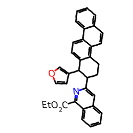 CCOC(=O)c1nc(C2CCc3c(ccc4c3ccc3ccccc34)C2c2ccoc2)cc2ccccc12